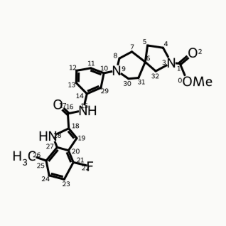 COC(=O)N1CCC2(CCN(c3cccc(NC(=O)c4cc5c(F)ccc(C)c5[nH]4)c3)CC2)C1